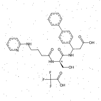 O=C(O)C(F)(F)F.O=C(O)CC(NC(=O)[C@@H](CO)NC(=O)CCCNc1ccccn1)c1ccc(-c2ccccc2)cc1